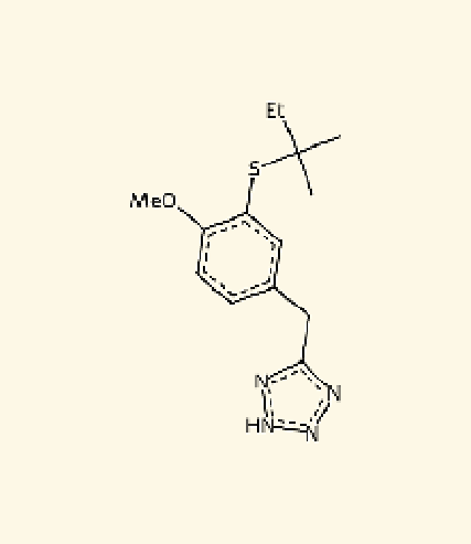 CCC(C)(C)Sc1cc(Cc2nn[nH]n2)ccc1OC